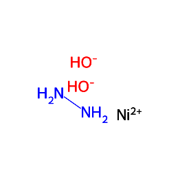 NN.[Ni+2].[OH-].[OH-]